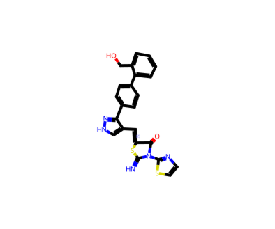 N=C1S/C(=C\c2c[nH]nc2-c2ccc(-c3ccccc3CO)cc2)C(=O)N1c1nccs1